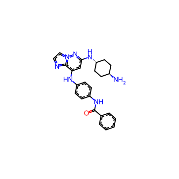 N[C@H]1CC[C@H](Nc2cc(Nc3ccc(NC(=O)c4ccccc4)cc3)c3nccn3n2)CC1